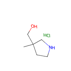 CC1(CO)CCNC1.Cl